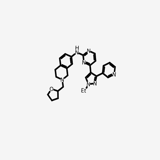 CCn1cc(-c2ccnc(Nc3ccc4c(c3)CN(CC3CCCO3)CC4)n2)c(-c2cccnc2)n1